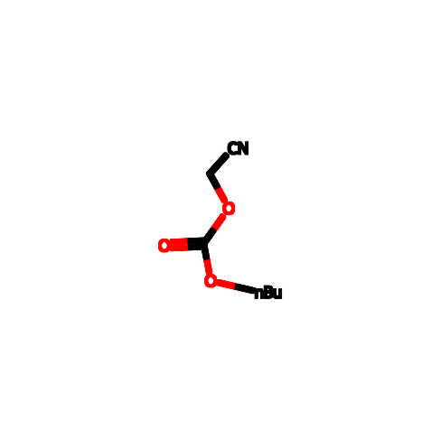 CCCCOC(=O)OCC#N